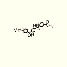 COc1ccc(C(O)c2ccc(-c3nc4cc(C(N)=O)ccc4[nH]3)cc2)cc1